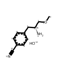 COC[C@H](N)Cc1ccc(C#N)cc1.Cl